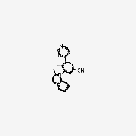 Cc1c(-c2ccncn2)cc(C#N)cc1-[n+]1c(C)ccc2ccccc21